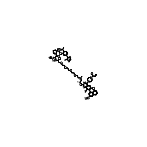 C=CC(=O)N1CCN(c2nc(O[C@H](C)CN(C)CCOCCOCCOCCOCC(=O)N[C@H](C(=O)N3CCC[C@H]3C(=O)N[C@@H](C)c3ccc(-c4scnc4C)cc3)C(C)(C)C)nc3c(F)c(-c4cc(O)cc5ccccc45)c(Cl)cc23)CC1